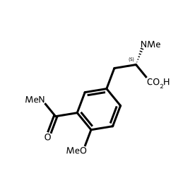 CNC(=O)c1cc(C[C@H](NC)C(=O)O)ccc1OC